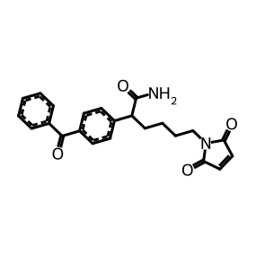 NC(=O)C(CCCCN1C(=O)C=CC1=O)c1ccc(C(=O)c2ccccc2)cc1